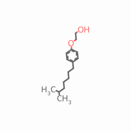 CC(C)CCCCCc1ccc(OCCO)cc1